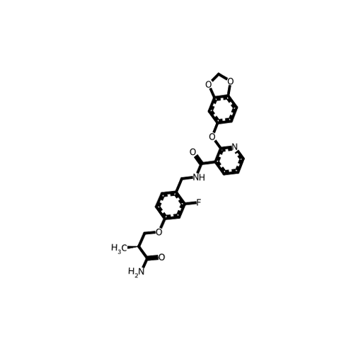 C[C@@H](COc1ccc(CNC(=O)c2cccnc2Oc2ccc3c(c2)OCO3)c(F)c1)C(N)=O